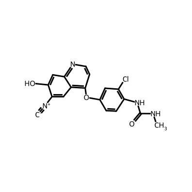 [C-]#[N+]c1cc2c(Oc3ccc(NC(=O)NC)c(Cl)c3)ccnc2cc1O